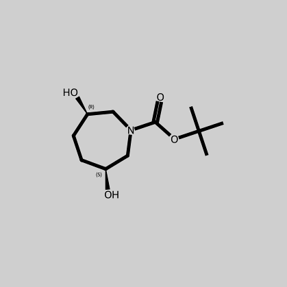 CC(C)(C)OC(=O)N1C[C@H](O)CC[C@H](O)C1